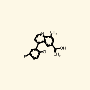 C=C(O)c1cc(C)c2nccc(-c3cc(F)ccc3Cl)c2c1